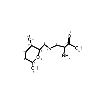 NC(CSCC1O[C@H](O)CC[C@@H]1O)C(=O)O